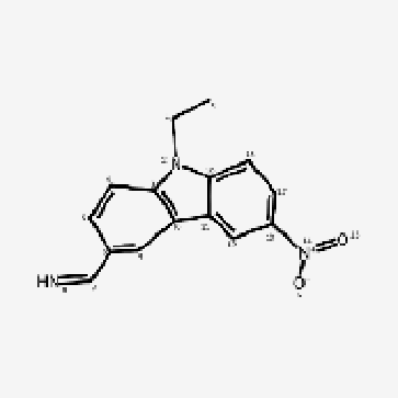 CCn1c2ccc(C=N)cc2c2cc([N+](=O)[O-])ccc21